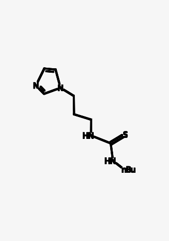 CCCCNC(=S)NCCCn1ccnc1